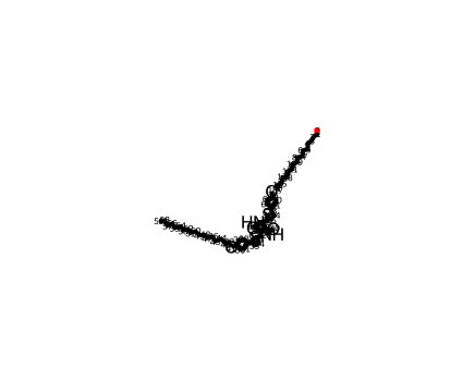 CCCCCCCCCCCCCCCCCCOc1ccc(-c2ccc(C3=C4C(=O)NC(c5ccc(-c6ccc(OCCCCCCCCCCCCCCCCCC)cc6)s5)=C4C(=O)N3)s2)cc1